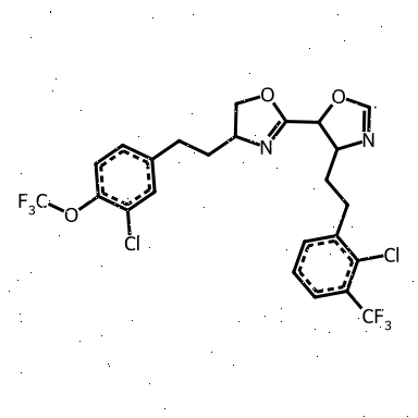 FC(F)(F)Oc1ccc(CCC2COC(C3O[C]=NC3CCc3cccc(C(F)(F)F)c3Cl)=N2)cc1Cl